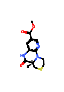 COC(=O)c1cnc2c(c1)NC(=O)[C@@H]1CSCCN21